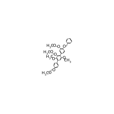 COCOc1ccc(-c2cc(OC)c(-c3ccc(OCc4ccccc4)c(OCOC)c3)c(OCOC)c2OC)cc1